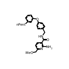 CCCCCc1cccc(Oc2ccc(CNC(=O)c3ccc(COC)nc3N)cc2)c1